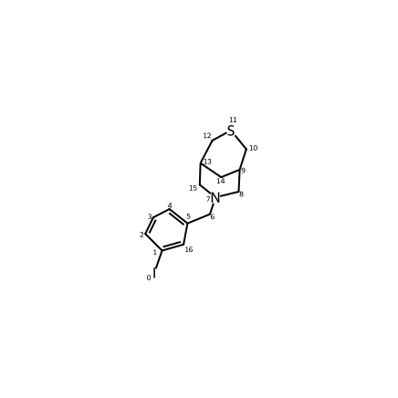 Ic1cccc(CN2CC3CSCC(C3)C2)c1